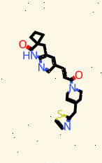 O=C(C=Cc1cnc2c(c1)CC1(CCC1)C(=O)N2)N1CC=C(Cc2nccs2)CC1